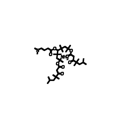 CC(C)CC(C)(C)C(=O)CC(=O)OC(C)(C)CC(C)(C)C(OC(=O)CCCN(C)C)C(C)(C)CC(C)(N)OC(=O)CC(=O)C(C)(C)CC(C)C